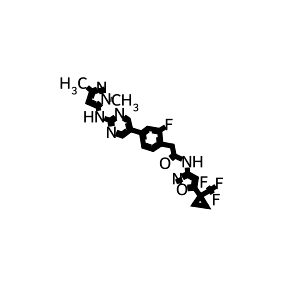 Cc1cc(Nc2ncc(-c3ccc(CC(=O)Nc4cc(C5(C(F)(F)F)CC5)on4)c(F)c3)cn2)n(C)n1